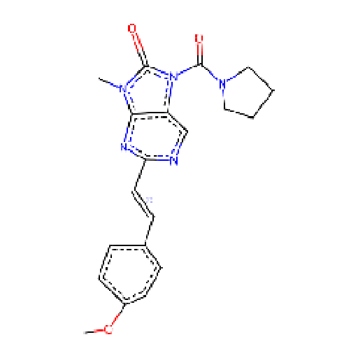 COc1ccc(/C=C/c2ncc3c(n2)n(C)c(=O)n3C(=O)N2CCCC2)cc1